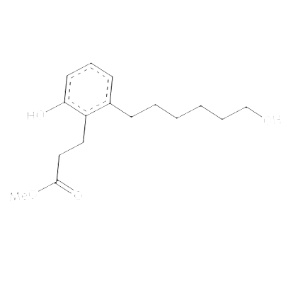 COC(=O)CCc1c(O)cccc1CCCCCCO